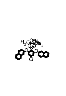 CC1(C)OB(c2c(Oc3ccc4ccccc4c3)cc(Cl)cc2Oc2ccc3ccccc3c2)OC1(C)C